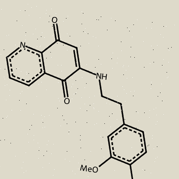 COc1cc(CCNC2=CC(=O)c3ncccc3C2=O)ccc1O